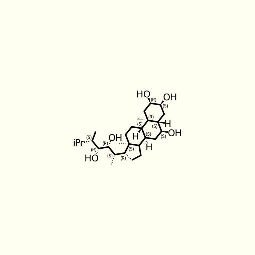 CC(C)[C@H](C)[C@@H](O)[C@H](O)[C@@H](C)[C@H]1CCC2[C@@H]3C[C@H](O)[C@H]4C[C@H](O)[C@H](O)C[C@]4(C)[C@H]3CC[C@@]21C